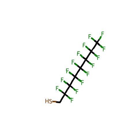 FC(F)(F)C(F)(F)C(F)(F)C(F)(F)C(F)(F)C(F)(F)C(F)(F)CS